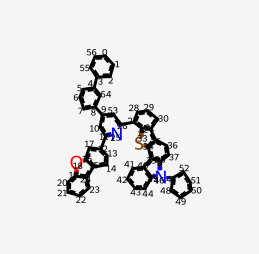 c1ccc(-c2cccc(-c3cc(-c4ccc5c(c4)oc4ccccc45)nc(-c4cccc5c4sc4c5ccc5c4c4ccccc4n5-c4ccccc4)c3)c2)cc1